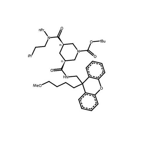 CCCN(CCC(C)C)C(=O)[C@@H]1C[C@H](C(=O)NCC2(CCCCOC)c3ccccc3Oc3ccccc32)CN(C(=O)OC(C)(C)C)C1